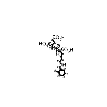 O=C(O)CC[C@H](NC(=O)N[C@@H](CCCCNCc1ccccc1I)C(=O)O)C(=O)O